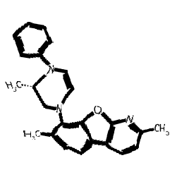 Cc1ccc2c(n1)oc1c(N3C=CN(c4ccccc4)[C@@H](C)C3)c(C)ccc12